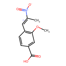 COc1cc(C(=O)O)ccc1/C=C(\C)[N+](=O)[O-]